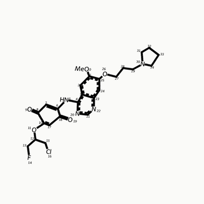 COc1cc2c(NC3=CC(=O)C(OC(CF)CCl)=CC3=O)ncnc2cc1OCCCN1CCCC1